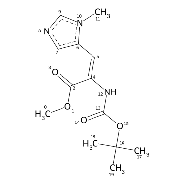 COC(=O)/C(=C\c1cncn1C)NC(=O)OC(C)(C)C